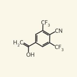 C=C(O)c1cc(C(F)(F)F)c(C#N)c(C(F)(F)F)c1